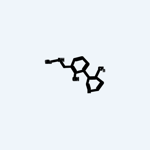 CC(C)(C)NCc1cccc(-c2cnccc2C(F)(F)F)c1O